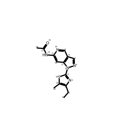 CCc1nc(-n2ncc3cnc(NC(C)=O)cc32)sc1C